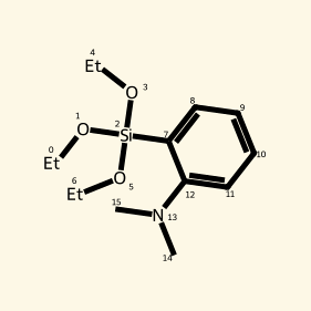 CCO[Si](OCC)(OCC)c1ccccc1N(C)C